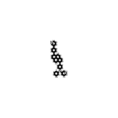 c1ccc(N(c2ccc(-c3ccc4ccc5c(-c6ccc(-c7cccnc7)cc6)ccc6ccc3c4c65)cc2)c2cccnc2)cc1